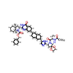 COC(=O)N[C@H](C(=O)N1CC2(C[C@H]1c1ncc(-c3ccc4cc(-c5ccc6c(=O)[nH]c([C@@H]7C[C@@H]8CCCC[C@@H]8N7C(=O)OCc7ccccc7)nc6c5)ccc4c3)[nH]1)OCCO2)C(C)C